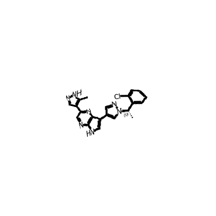 Cc1[nH]ncc1-c1cnc2[nH]cc(-c3cnn([C@@H](C)c4ccccc4Cl)c3)c2n1